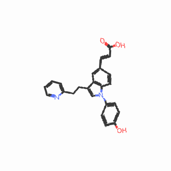 O=C(O)C=Cc1ccc2c(c1)c(CCc1ccccn1)cn2-c1ccc(O)cc1